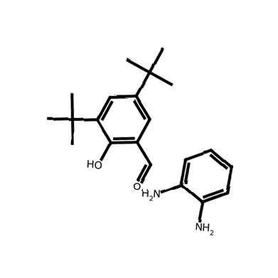 CC(C)(C)c1cc(C=O)c(O)c(C(C)(C)C)c1.Nc1ccccc1N